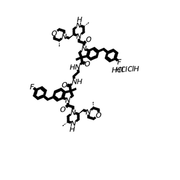 C[C@@H]1CN(CC(=O)N2CC(C)(C(=O)NCCNC(=O)C3(C)CN(C(=O)CN4C[C@@H](C)NC[C@@H]4CN4CCOC[C@H]4C)c4cc(Cc5ccc(F)cc5)ccc43)c3ccc(Cc4ccc(F)cc4)cc32)[C@@H](CN2CCOC[C@H]2C)CN1.Cl.Cl.Cl